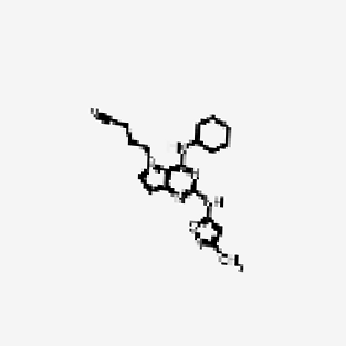 Cc1cc(Nc2nc(NC3CCCCC3)c3c(ccn3CCCC#N)n2)sn1